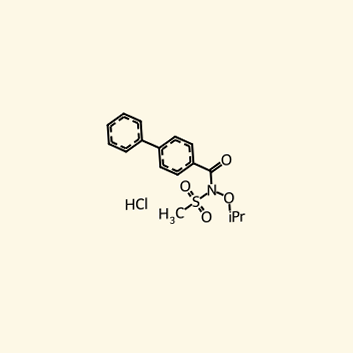 CC(C)ON(C(=O)c1ccc(-c2ccccc2)cc1)S(C)(=O)=O.Cl